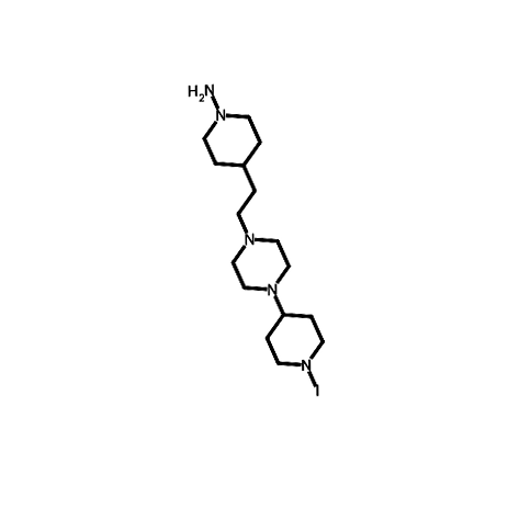 NN1CCC(CCN2CCN(C3CCN(I)CC3)CC2)CC1